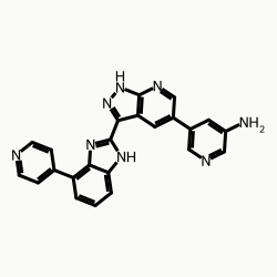 Nc1cncc(-c2cnc3[nH]nc(-c4nc5c(-c6ccncc6)cccc5[nH]4)c3c2)c1